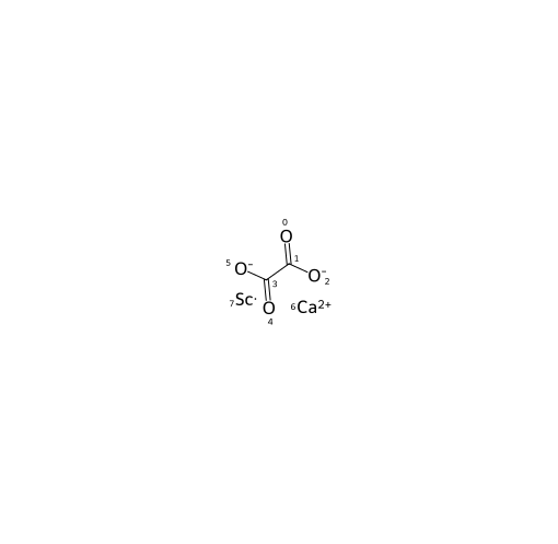 O=C([O-])C(=O)[O-].[Ca+2].[Sc]